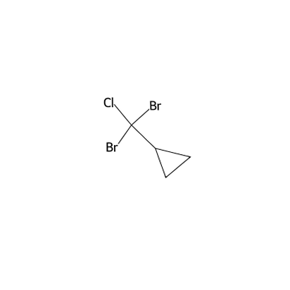 ClC(Br)(Br)C1CC1